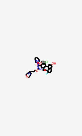 C#Cc1c(F)ccc2cc(O)cc(-c3c(Cl)cc4c(N5CC6CCC(C5)N6C(=O)OC(C)(C)C)nc(OCCCN5C6CCC5COC6)nc4c3F)c12